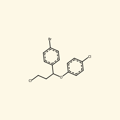 ClCCC(Oc1ccc(Cl)cc1)c1ccc(Br)cc1